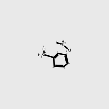 C[SiH2]Cl.Cl[SiH2]c1ccccc1